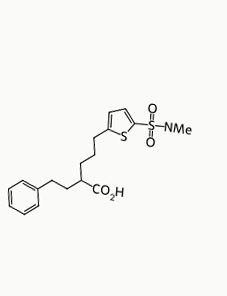 CNS(=O)(=O)c1ccc(CCCC(CCc2ccccc2)C(=O)O)s1